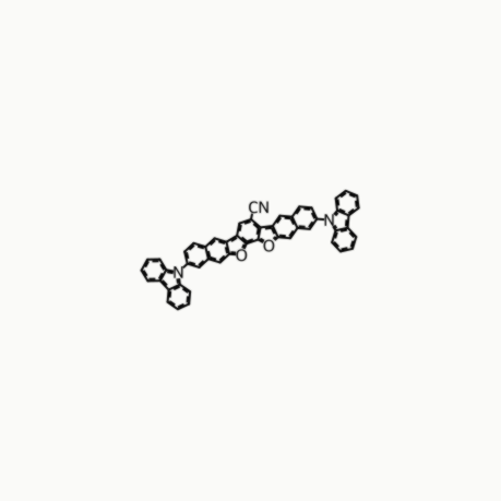 N#Cc1cc2c3cc4ccc(-n5c6ccccc6c6ccccc65)cc4cc3oc2c2oc3cc4cc(-n5c6ccccc6c6ccccc65)ccc4cc3c12